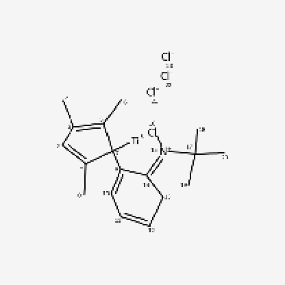 CC1=CC(C)=C(C)[C]1([Ti])C1=CC=CCC1=[N+](Cl)C(C)(C)C.[Cl-].[Cl-].[Cl-]